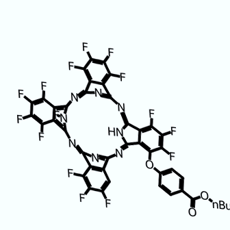 CCCCOC(=O)c1ccc(Oc2c(F)c(F)c(F)c3c4nc5nc(nc6c7c(F)c(F)c(F)c(F)c7c(nc7nc(nc([nH]4)c23)-c2cc(F)c(F)c(F)c2-7)n6F)-c2c(F)c(F)c(F)c(F)c2-5)cc1